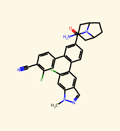 Cn1ncc2cc(-c3ccc(C(=O)N4C5CCC4CC(N)C5)cc3-c3ccc(C#N)c(F)c3)c(F)cc21